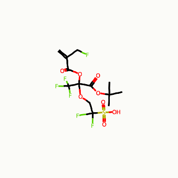 C=C(CF)C(=O)OC(OCC(F)(F)S(=O)(=O)O)(C(=O)OC(C)(C)C)C(F)(F)F